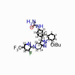 Cc1cccc(OCC(C)C)c1-n1nc2c(c1-c1ccc(NC(N)=O)cc1)CN(c1ncc(C(F)(F)F)cc1F)CC2